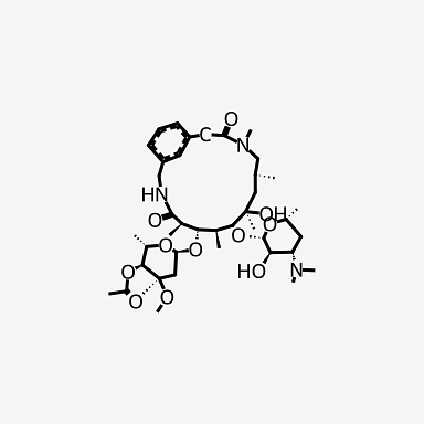 CO[C@]1(C)C[C@H](O[C@H]2[C@H](C)[C@@H](O[C@@H]3O[C@H](C)C[C@H](N(C)C)[C@H]3O)[C@](C)(O)C[C@@H](C)CN(C)C(=O)Cc3cccc(c3)CNC(=O)[C@@H]2C)O[C@@H](C)[C@@H]1OC(C)=O